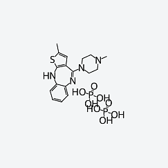 Cc1cc2c(s1)Nc1ccccc1N=C2N1CCN(C)CC1.O=P(O)(O)O.O=P(O)(O)O